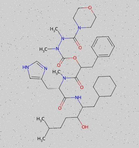 CC(C)CCC(O)C(CC1CCCCC1)NC(=O)[C@H](Cc1c[nH]cn1)N(C)C(=O)C(Cc1ccccc1)OC(=O)N(C)N(C)C(=O)N1CCOCC1